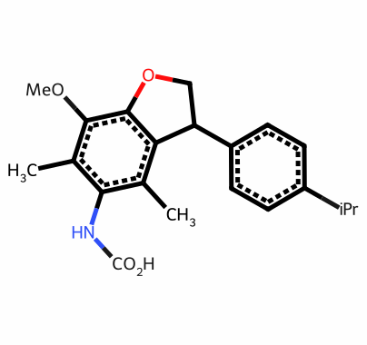 COc1c(C)c(NC(=O)O)c(C)c2c1OCC2c1ccc(C(C)C)cc1